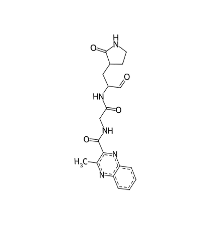 Cc1nc2ccccc2nc1C(=O)NCC(=O)NC(C=O)CC1CCNC1=O